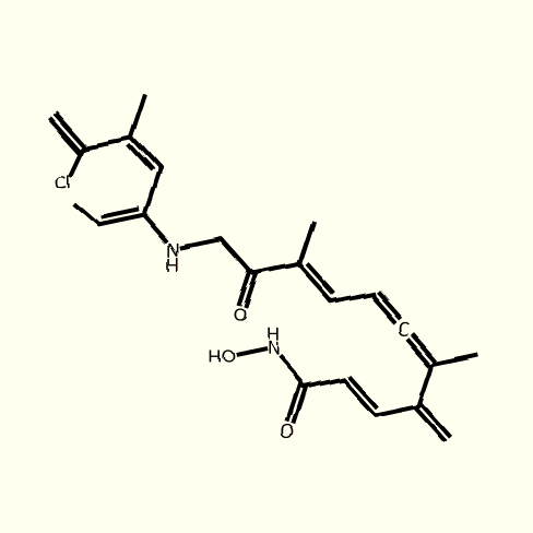 C=C(/C=C/C(=O)NO)C(C)=C=C/C=C(\C)C(=O)CNC(/C=C(/C)C(=C)Cl)=C/C